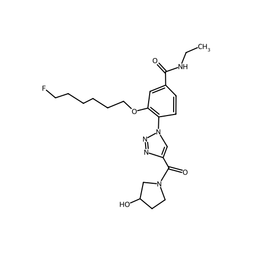 CCNC(=O)c1ccc(-n2cc(C(=O)N3CCC(O)C3)nn2)c(OCCCCCCF)c1